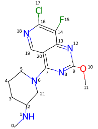 CNC1CCCN(c2nc(OC)nc3c(F)c(Cl)ncc23)C1